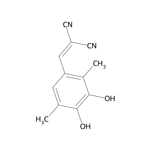 Cc1cc(C=C(C#N)C#N)c(C)c(O)c1O